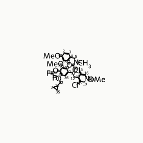 COc1ccc(CN(C)C(=O)O[C@@H](Cc2c(Cl)c[n+](OC)cc2Cl)c2ccc(OC(F)F)c(OCC3CC3)c2)cc1OC